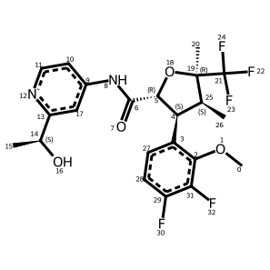 COc1c([C@H]2[C@H](C(=O)Nc3ccnc([C@H](C)O)c3)O[C@@](C)(C(F)(F)F)[C@H]2C)ccc(F)c1F